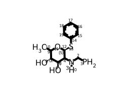 [3H]N(CP)C1[C@@H](O)[C@H](O)C(C)O[C@H]1Sc1ccccc1